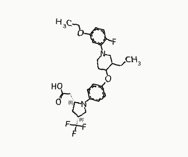 CCOc1ccc(F)c(N2CCC(Oc3ccc(N4C[C@H](C(F)(F)F)C[C@@H]4CC(=O)O)cc3)C(CC)C2)c1